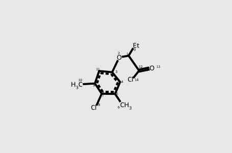 CCC(Oc1cc(C)c(Cl)c(C)c1)C(=O)Cl